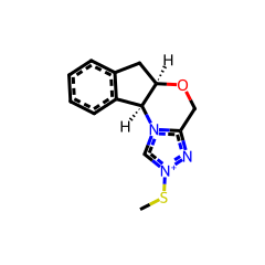 CS[n+]1cn2c(n1)CO[C@@H]1Cc3ccccc3[C@@H]12